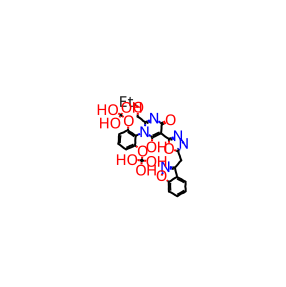 CCOCc1nc(=O)c(-c2nnc(Cc3noc4ccccc34)o2)c(O)n1-c1c(OC(O)(O)O)cccc1OC(O)(O)O